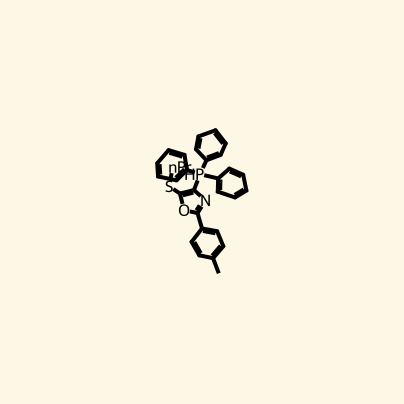 CCCSc1oc(-c2ccc(C)cc2)nc1[PH](c1ccccc1)(c1ccccc1)c1ccccc1